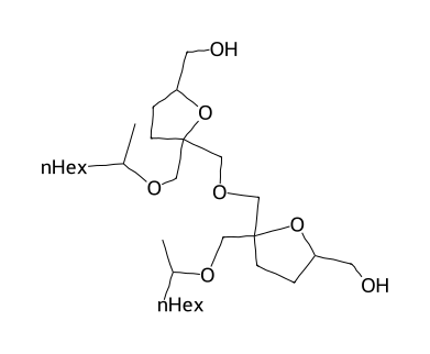 CCCCCCC(C)OCC1(COCC2(COC(C)CCCCCC)CCC(CO)O2)CCC(CO)O1